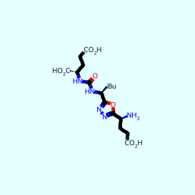 CCC(C)[C@H](NC(=O)N[C@@H](CCC(=O)O)C(=O)O)c1nnc([C@@H](N)CCC(=O)O)o1